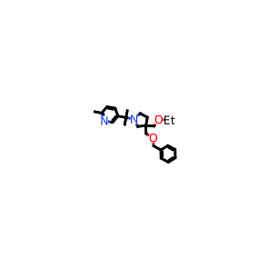 CCOCC1(COCc2ccccc2)CCN(C(C)(C)c2ccc(C)nc2)C1